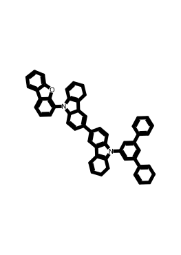 C1=CC(c2cc(-c3ccccc3)cc(-n3c4c(c5cc(C6=CC7C8=C(C=CCC8)N(c8cccc9c8oc8ccccc89)C7C=C6)ccc53)C=CCC4)c2)=CCC1